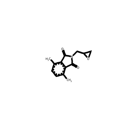 Cc1ccc(C)c2c1C(=O)N(CC1CO1)C2=O